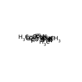 COc1ccc(C2COc3cc(Cn4cnc5cc(-c6cn(C)nc6C)cnc54)ccc3O2)c(F)c1